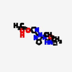 C[C@@H](O)COc1ccnc(-c2nc3c(c(N(C)CC(=O)NC4(C)CCC4)n2)CCC3)c1